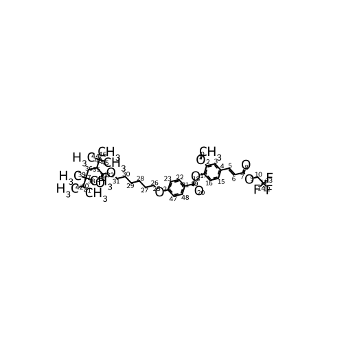 COc1cc(/C=C/C(=O)OCC(F)(F)F)ccc1OC(=O)c1ccc(OCCCCCCOC(=O)C(CC(C)(C)C(C)C)C(C)(C)C)cc1